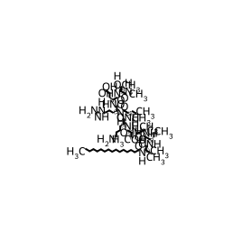 CCCCCCCCCCCCCCCC(=O)N[C@H](C(=O)N[C@@H](CC(C)C)C(=O)N[C@@H](C)C(=O)N[C@H](C(=O)N[C@@H](CCCCN)C(=O)N[C@@H](CC(C)C)C(=O)N[C@@H](CCCNC(=N)N)C(=O)N[C@@H](CCC(=O)O)C(=O)N[C@H](C(=O)NC)[C@@H](C)O)[C@H](C)O)C(C)C